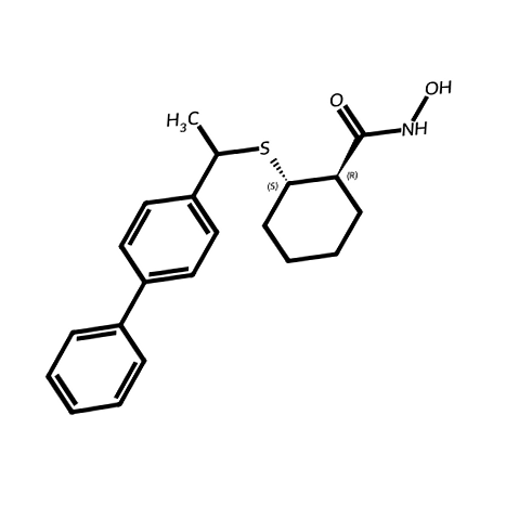 CC(S[C@H]1CCCC[C@@H]1C(=O)NO)c1ccc(-c2ccccc2)cc1